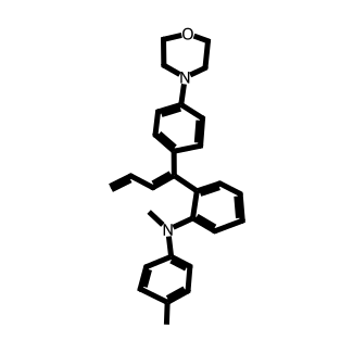 C=CC=C(c1ccc(N2CCOCC2)cc1)c1ccccc1N(C)c1ccc(C)cc1